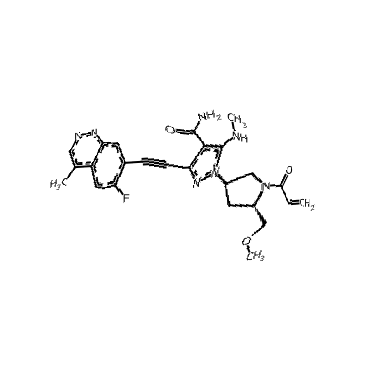 C=CC(=O)N1CC(n2nc(C#Cc3cc4nncc(C)c4cc3F)c(C(N)=O)c2NC)C[C@@H]1COC